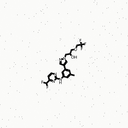 Cc1cc(Nc2nccc(C(F)F)n2)cc(-c2cnn(CC(O)COCC(F)(F)F)c2)c1